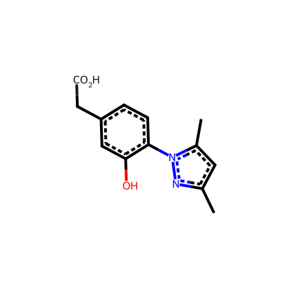 Cc1cc(C)n(-c2ccc(CC(=O)O)cc2O)n1